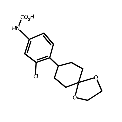 O=C(O)Nc1ccc(C2CCC3(CC2)OCCO3)c(Cl)c1